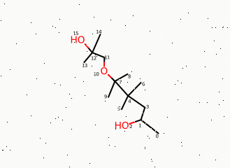 CC(O)CC(C)(C)C(C)(C)OCC(C)(C)O